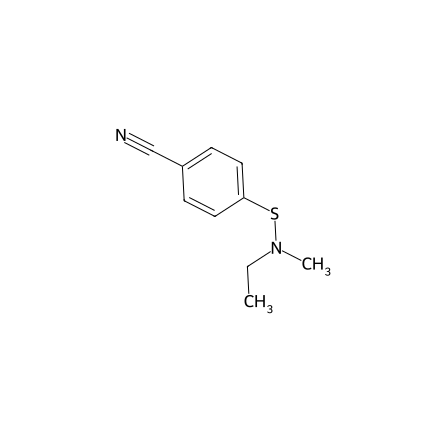 CCN(C)Sc1ccc(C#N)cc1